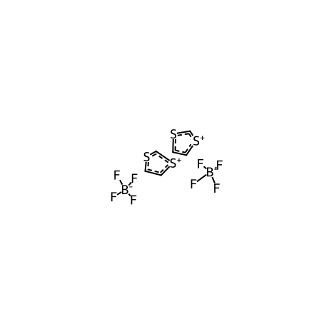 F[B-](F)(F)F.F[B-](F)(F)F.c1c[s+]cs1.c1c[s+]cs1